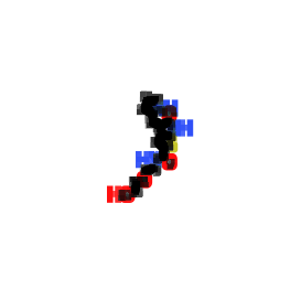 O=C1Nc2sc(C(=O)NCCOCCO)cc2C1=Cc1ccc[nH]1